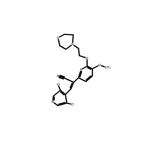 COc1ccc(/C(C#N)=C/c2c(Cl)cncc2Cl)nc1OCCN1CCOCC1